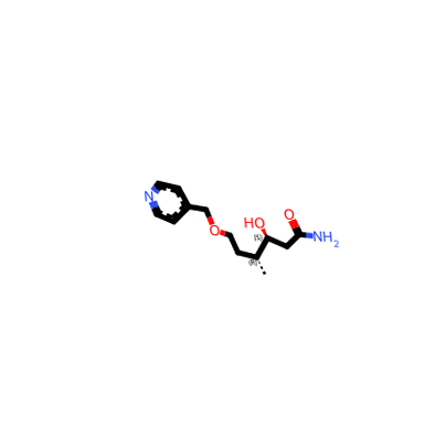 C[C@H](CCOCc1ccncc1)[C@@H](O)CC(N)=O